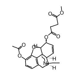 COC(=O)CCC(=O)O[C@H]1C=C[C@H]2[C@H]3Cc4ccc(OC(C)=O)c5c4[C@@]2(CCN3C)[C@H]1O5